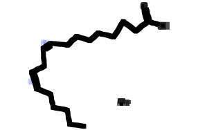 CCCCC/C=C\C/C=C\CCCCCCCC(=O)O.[Mn]